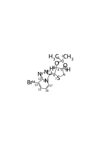 CC1(C)O[C@@H]2[C@@H](CS[C@H]2c2nnc3c(Br)cccn23)O1